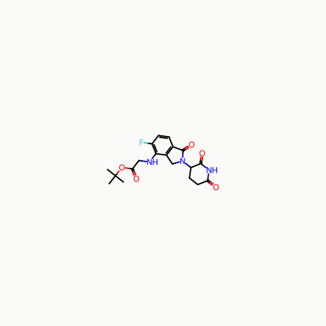 CC(C)(C)OC(=O)CNc1c(F)ccc2c1CN(C1CCC(=O)NC1=O)C2=O